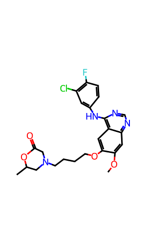 COc1cc2ncnc(Nc3ccc(F)c(Cl)c3)c2cc1OCCCCN1CC(=O)OC(C)C1